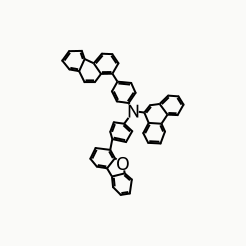 c1ccc2c(c1)ccc1c(-c3ccc(N(c4ccc(-c5cccc6c5oc5ccccc56)cc4)c4cc5ccccc5c5ccccc45)cc3)cccc12